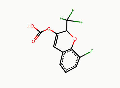 O=C(O)OC1=Cc2cccc(F)c2OC1C(F)(F)F